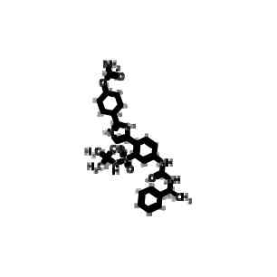 C[C@H](NC(=O)Nc1ccc(-c2cnc(C3CCC(OC(N)=O)CC3)s2)c(S(=O)(=O)NC(C)(C)C)c1)c1ccccc1